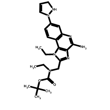 CCN(Cc1nc2c(N)nc3cc(N4C=CCN4)ccc3c2n1CC)C(=O)OC(C)(C)C